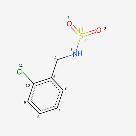 O=[SH](=O)NCc1ccccc1Cl